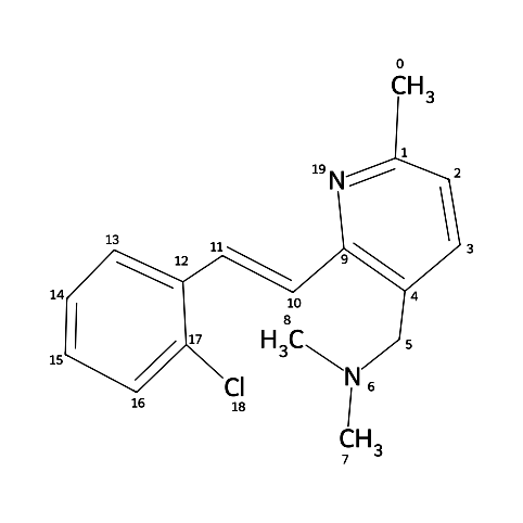 Cc1ccc(CN(C)C)c(C=Cc2ccccc2Cl)n1